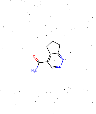 NC(=O)c1cnnc2c1CCC2